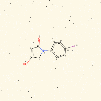 O=C1C=C(O)CN1c1ccc(I)cc1